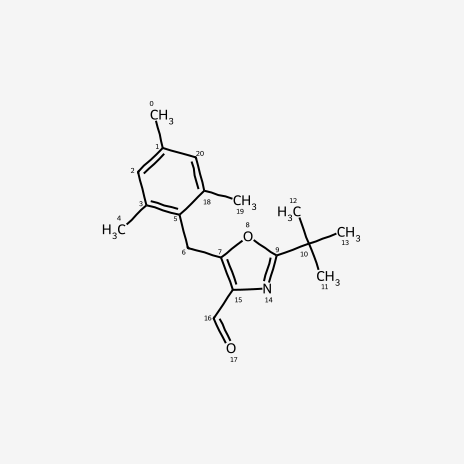 Cc1cc(C)c(Cc2oc(C(C)(C)C)nc2C=O)c(C)c1